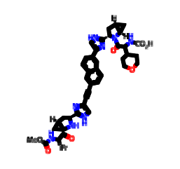 COC(=O)NC(C(=O)[C@@]12C[C@H]1C[C@@H](c1nc(C#Cc3ccc4cc(-c5c[nH]c([C@@H]6C[C@H]7C[C@H]7N6C(=O)C(NC(=O)O)C6CCOCC6)n5)ccc4c3)c[nH]1)N2)C(C)C